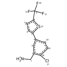 NCc1cc(-c2cnc(C(F)(F)F)s2)ncc1Cl